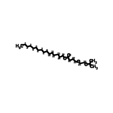 CCCCCCCCCCCCCCCCOC(=O)CCCOCCOC(C)C